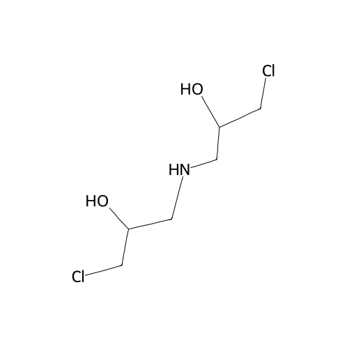 OC(CCl)CNCC(O)CCl